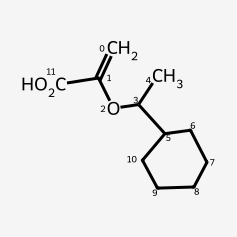 C=C(OC(C)C1CCCCC1)C(=O)O